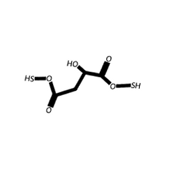 O=C(CC(O)C(=O)OS)OS